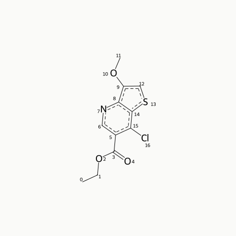 CCOC(=O)c1cnc2c(OC)csc2c1Cl